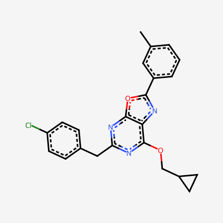 Cc1cccc(-c2nc3c(OCC4CC4)nc(Cc4ccc(Cl)cc4)nc3o2)c1